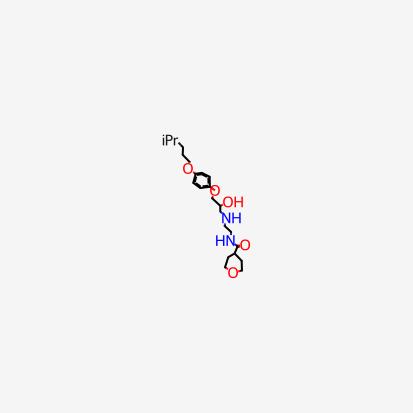 CC(C)CCCOc1ccc(OCC(O)CNCCNC(=O)C2CCOCC2)cc1